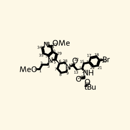 COCCCn1c([C@@H]2CCCN(C(=O)C[C@@H](Cc3ccc(Br)cc3)NC(=O)OC(C)(C)C)C2)cc2c(OC)nccc21